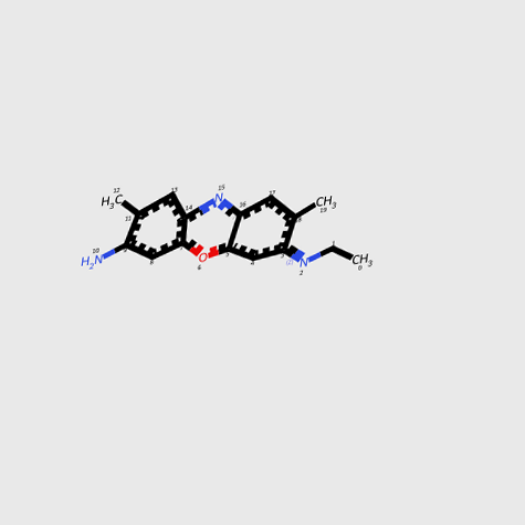 CC/N=c1/cc2oc3cc(N)c(C)cc3nc-2cc1C